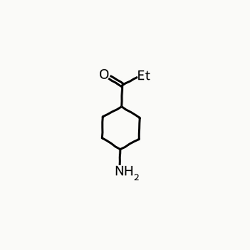 CCC(=O)C1CCC(N)CC1